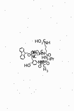 CC(NC(=O)C(NC(=O)C(CCCCNC(=O)O)NC(=O)O)C(C)C)C(=O)Nc1ccc(CO)c(CN(C)C(=O)OCC2c3ccccc3-c3ccccc32)c1